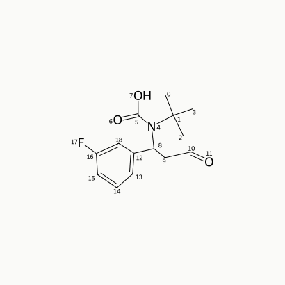 CC(C)(C)N(C(=O)O)C(CC=O)c1cccc(F)c1